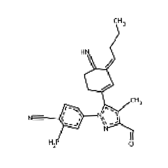 CCC/C=C1/C=C(c2c(C)c(C=O)nn2-c2ccc(C#N)c(P)c2)CCC1=N